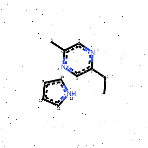 CCc1cnc(C)cn1.c1cc[nH]c1